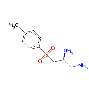 Cc1ccc(S(=O)(=O)C[C@@H](N)CN)cc1